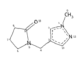 Cn1cc(CN2CCCC2=O)cn1